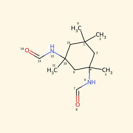 CC1(C)CC(C)(NC=O)CC(C)(NC=O)C1